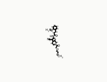 COCCOCC(=O)N1CCc2c(sc(NC(=O)CCc3ccccc3OC)c2C#N)C1